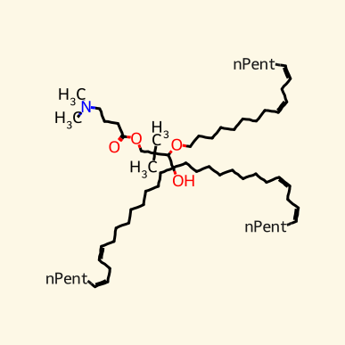 CCCCC/C=C\C/C=C\CCCCCCCCOC(C(C)(C)COC(=O)CCCN(C)C)C(O)(CCCCCCCC/C=C\C/C=C\CCCCC)CCCCCCCC/C=C\C/C=C\CCCCC